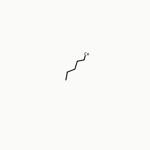 CCCC[CH2][Ce]